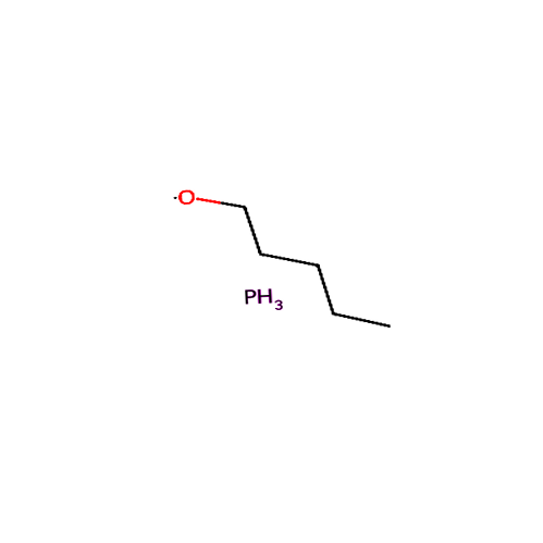 CCCCC[O].P